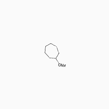 CO[C]1CCCCCC1